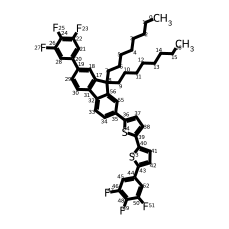 CCCCCCCCC1(CCCCCCCC)c2cc(-c3cc(F)c(F)c(F)c3)ccc2-c2ccc(-c3ccc(-c4ccc(-c5cc(F)c(F)c(F)c5)s4)s3)cc21